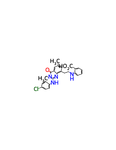 Cc1cc(CCNc2ccccc2C(=O)O)c2nc(Nc3ccc(Cl)cc3)n(C)c(=O)c2c1